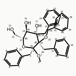 CO[C@@]1(Cc2ccccc2)O[C@H](CO)[C@@H](O)[C@@](O)(Cc2ccccc2)[C@@]1(Cc1ccccc1)OCc1ccccc1